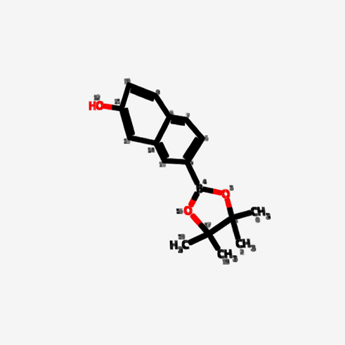 CC1(C)OB(c2ccc3ccc(O)cc3c2)OC1(C)C